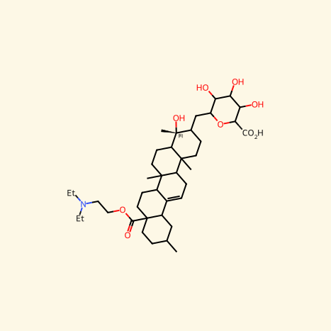 CCN(CC)CCOC(=O)C12CCC(C)CC1C1=CCC3C(C)(CCC4C3(C)CCC(CC3OC(C(=O)O)C(O)C(O)C3O)[C@@]4(C)O)C1CC2